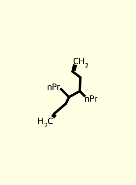 C=CCC(CCC)C(CC=C)CCC